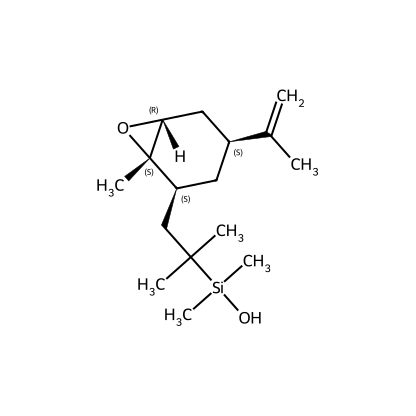 C=C(C)[C@H]1C[C@@H](CC(C)(C)[Si](C)(C)O)[C@]2(C)O[C@@H]2C1